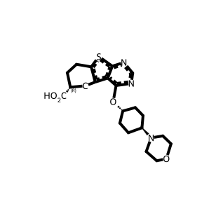 O=C(O)[C@@H]1CCc2sc3ncnc(O[C@H]4CC[C@H](N5CCOCC5)CC4)c3c2C1